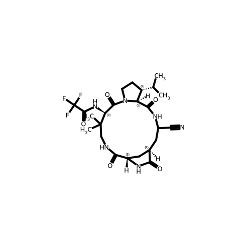 CC(C)[C@H]1CCN2C(=O)[C@H](NC(=O)C(F)(F)F)C(C)(C)CNC(=O)[C@@H]3C[C@@H](CC(C#N)NC(=O)[C@H]12)C(=O)N3